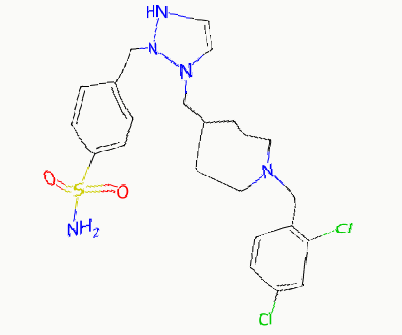 NS(=O)(=O)c1ccc(CN2NC=CN2CC2CCN(Cc3ccc(Cl)cc3Cl)CC2)cc1